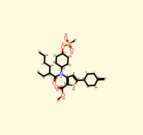 C=C1CCC(c2cc(N(C(=O)C(CC)CCCC)C3CCC(OS(C)(=O)=O)CC3)c(C(=O)OC)s2)CC1